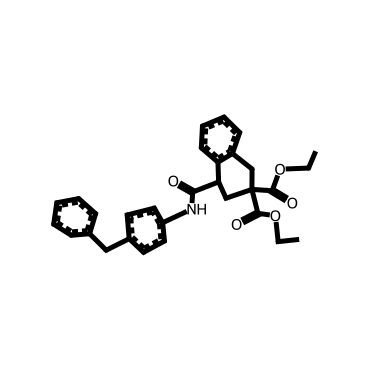 CCOC(=O)C1(C(=O)OCC)Cc2ccccc2C(C(=O)Nc2ccc(Cc3ccccc3)cc2)C1